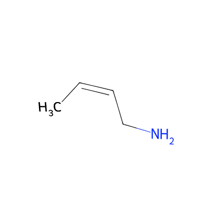 C/C=C\CN